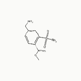 COC(=O)c1ccc(CN)cc1S(N)(=O)=O